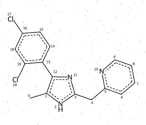 Cc1[nH]c(Cc2ccccn2)nc1-c1ccc(Cl)cc1Cl